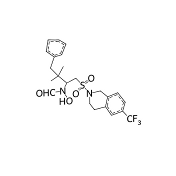 CC(C)(Cc1ccccc1)C(CS(=O)(=O)N1CCc2cc(C(F)(F)F)ccc2C1)N(O)C=O